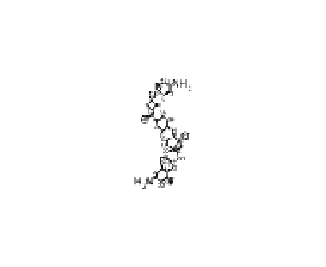 Nc1ccc(OC2CN(C(=O)c3ccc(CN4CCC5(CCN(Cc6c(F)cc(N)cc6F)CC5)OC4=O)cc3)C2)nc1